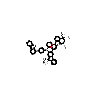 CC1(C)CCC(C)(C)c2c(-c3ccc(-c4cc5c(cc4N(c4ccccc4)c4ccc(-c6cccc7c6oc6ccccc67)cc4)C(C)(C)c4ccccc4-5)cc3)cccc21